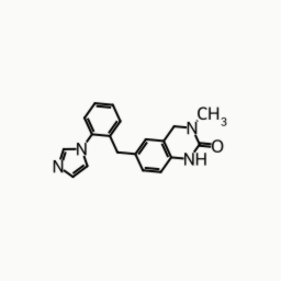 CN1Cc2cc(Cc3ccccc3-n3ccnc3)ccc2NC1=O